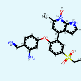 CCS(=O)(=O)c1ccc(Oc2ccc(C=N)c(N)c2)c(-c2cc(C)[n+]([O-])c3[nH]ccc23)c1